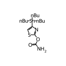 CCC[CH2][Sn]([CH2]CCC)([CH2]CCC)[c]1csc(OC(N)=O)n1